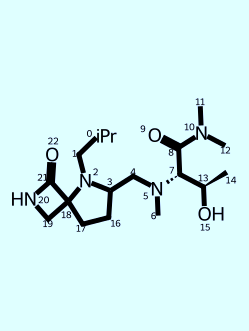 CC(C)CN1C(CN(C)[C@H](C(=O)N(C)C)[C@@H](C)O)CCC12CNC2=O